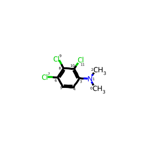 CN(C)c1ccc(Cl)c(Cl)c1Cl